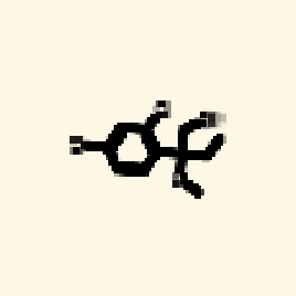 CCC(CO)(OC)c1ccc(Cl)cc1Cl